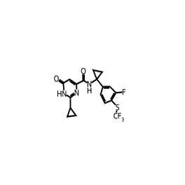 O=C(NC1(c2ccc(SC(F)(F)F)c(F)c2)CC1)c1cc(=O)[nH]c(C2CC2)n1